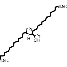 CCCCCCCCCCCCCCCCCCCCCC(CCC)PC(CCC)CCCCCCCCCCCCCCCCCCCCC.Cl